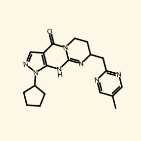 Cc1cnc(CC2CCN3C(=O)c4cnn(C5CCCC5)c4NC3=N2)nc1